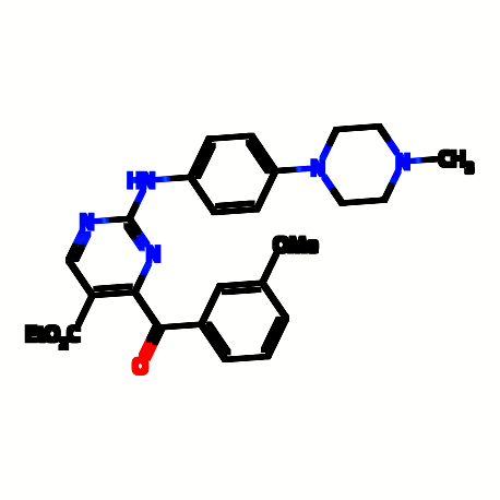 CCOC(=O)c1cnc(Nc2ccc(N3CCN(C)CC3)cc2)nc1C(=O)c1cccc(OC)c1